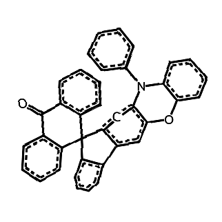 O=C1c2ccccc2C2(c3ccccc31)c1ccccc1-c1cc3c(cc12)N(c1ccccc1)c1ccccc1O3